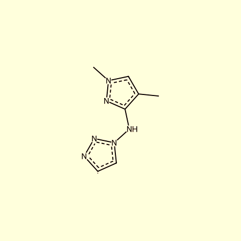 Cc1cn(C)nc1Nn1c[c]nn1